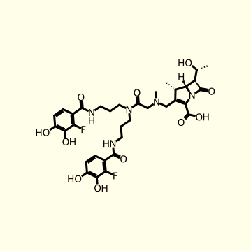 C[C@@H](O)[C@H]1C(=O)N2C(C(=O)O)=C(CN(C)CC(=O)N(CCCNC(=O)c3ccc(O)c(O)c3F)CCCNC(=O)c3ccc(O)c(O)c3F)[C@H](C)[C@H]12